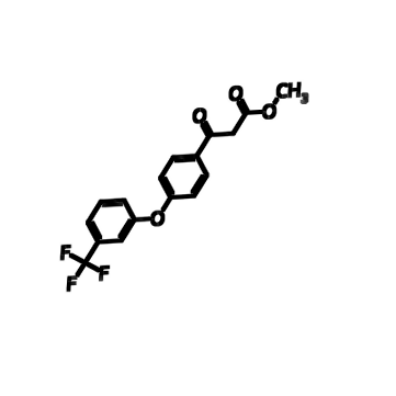 COC(=O)CC(=O)c1ccc(Oc2cccc(C(F)(F)F)c2)cc1